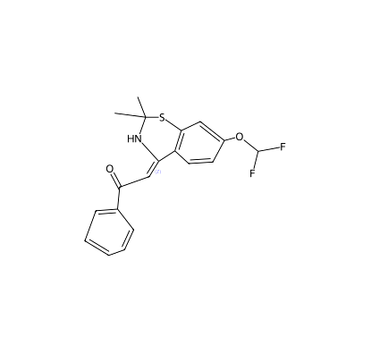 CC1(C)N/C(=C\C(=O)c2ccccc2)c2ccc(OC(F)F)cc2S1